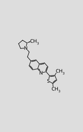 Cc1cc(C)c(-c2ccc3cc(CCN4CCC[C@H]4C)ccc3n2)s1